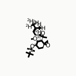 [2H]C([2H])([2H])C(=CC[C@H]1OC1(C)[C@H]1[C@H](OC)[C@H](O[Si](C)(C)C(C)(C)C)CC[C@]12CO2)C([2H])([2H])[2H]